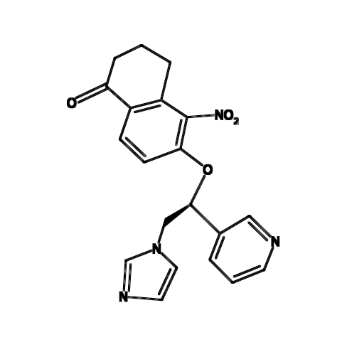 O=C1CCCc2c1ccc(O[C@H](Cn1ccnc1)c1cccnc1)c2[N+](=O)[O-]